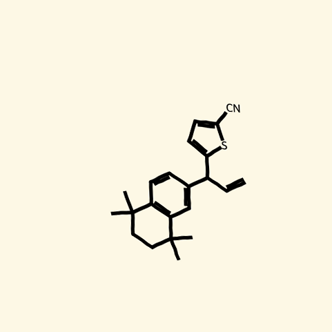 C=CC(c1ccc2c(c1)C(C)(C)CCC2(C)C)c1ccc(C#N)s1